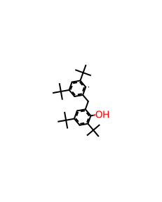 CC(C)(C)c1[c]c(Cc2cc(C(C)(C)C)cc(C(C)(C)C)c2O)cc(C(C)(C)C)c1